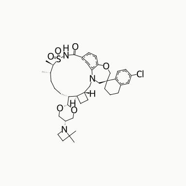 C[C@@H]1[C@@H](C)CCC[C@@H]([C@H]2OC[C@@H](N3CCC3(C)C)CO2)[C@@H]2CC[C@H]2CN2C[C@@]3(CCCc4cc(Cl)ccc43)COc3ccc(cc32)C(=O)NS1(=O)=O